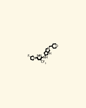 F[C@H]1CCN(c2cc(C(F)(F)F)c(NC3CC4CN(CC5CCOCC5)C[C@H]4C3)nn2)C1